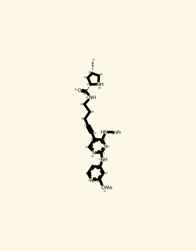 CCCNc1nc(Nc2ccnc(OC)c2)ncc1C#CCCCNC(=O)[C@@H]1C[C@H](F)CN1